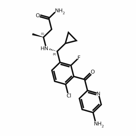 C[C@@H](CC(N)=O)N[C@@H](c1ccc(Cl)c(C(=O)c2ccc(N)cn2)c1F)C1CC1